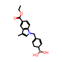 CCOC(=O)c1ccc2c(c1)c(C)cn2CC1=CCC(B(O)O)C=C1